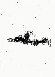 Cc1ccc(-c2c(NS(=O)(=O)c3ccc(C(C)(C)C)cc3)ncnc2OCCOc2ncc(C#CC(C)(C)O)cn2)cc1